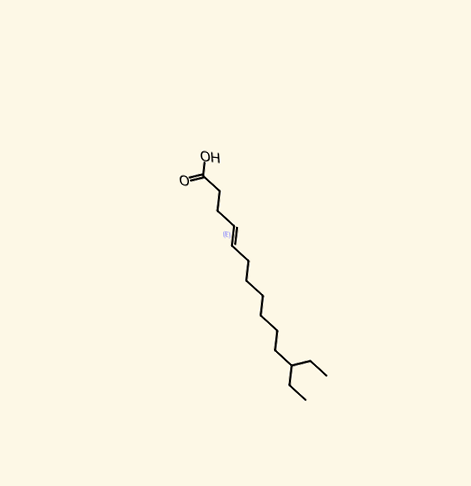 CCC(CC)CCCCCC/C=C/CCC(=O)O